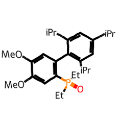 CCP(=O)(CC)c1cc(OC)c(OC)cc1-c1c(C(C)C)cc(C(C)C)cc1C(C)C